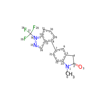 CN1C(=O)Cc2cc(-c3cccc4c3cnn4C(F)(F)F)ccc21